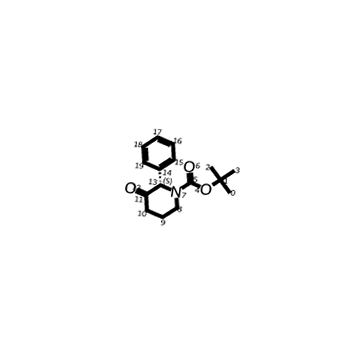 CC(C)(C)OC(=O)N1CCCC(=O)[C@@H]1c1ccccc1